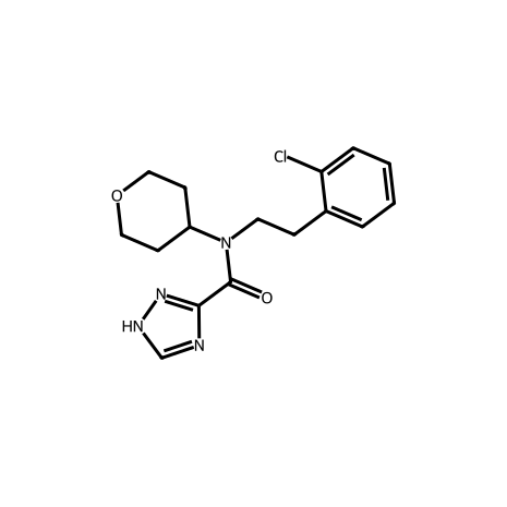 O=C(c1nc[nH]n1)N(CCc1ccccc1Cl)C1CCOCC1